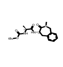 C[C@H](NC(=O)OC(C)(C)C)C(=O)N[C@H]1Cc2ccccc2CN(C)C1=O